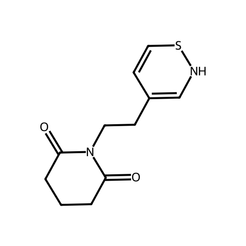 O=C1CCCC(=O)N1CCC1=CNSC=C1